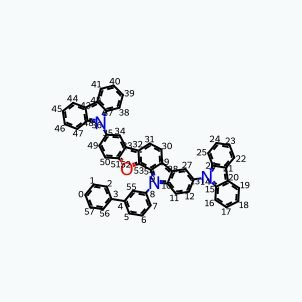 c1ccc(-c2cccc(-n3c4ccc(-n5c6ccccc6c6ccccc65)cc4c4ccc5c6cc(-n7c8ccccc8c8ccccc87)ccc6oc5c43)c2)cc1